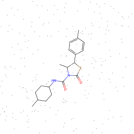 Cc1ccc(C2SC(=O)N(C(=O)NC3CCC(C)CC3)C2C)cc1